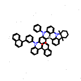 CC12CCCCC1(C)N1c3cccc4c3B(c3ccc(N(c5cccc(-c6cccc7ccccc67)c5)c5ccccc5-c5cccc6ccccc56)cc3N4c3ccccc3)c3cccc2c31